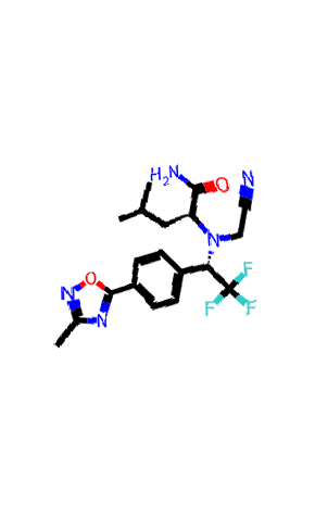 Cc1noc(-c2ccc([C@H](N(CC#N)[C@@H](CC(C)C)C(N)=O)C(F)(F)F)cc2)n1